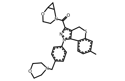 Cc1ccc2c(c1)SCc1c(C(=O)N3CCOC4CC43)nn(-c3ccc(CN4CCOCC4)cc3)c1-2